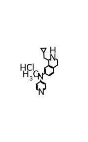 CN(c1ccncc1)c1ccc2c(c1)C(CC1CC1)NCC2.Cl